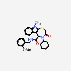 COc1ccccc1CNC(=O)C1c2c(n(C)c3ccccc23)SCC(=O)N1C1CCCCC1